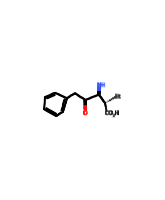 CC[C@@H](C(=N)C(=O)Cc1ccccc1)C(=O)O